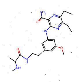 CCc1nc(Nc2cc(CCNC(=O)C(C)NC)cc(OC)c2)c(C(N)=O)nc1CC